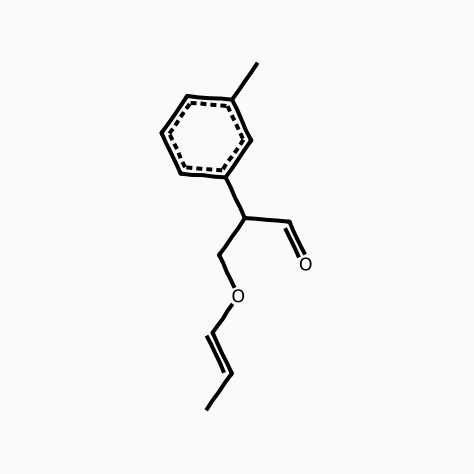 CC=COCC(C=O)c1cccc(C)c1